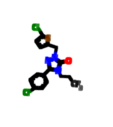 O=c1n(Cc2ccc(Cl)s2)nc(-c2ccc(Cl)cc2)n1CCC(F)(F)F